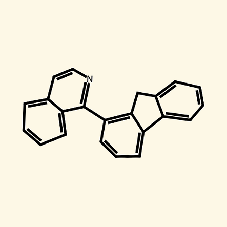 c1ccc2c(c1)Cc1c-2cccc1-c1nccc2ccccc12